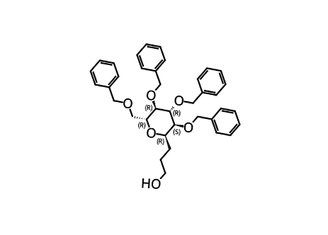 OCCC[C@H]1O[C@H](COCc2ccccc2)[C@@H](OCc2ccccc2)[C@H](OCc2ccccc2)[C@H]1OCc1ccccc1